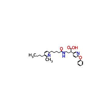 CCCCc1ccc(CCCCC(=O)NCCC(C(=O)O)c2ccc(Oc3ccccc3)nc2)nc1C